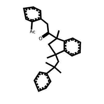 CC(=O)c1ccccc1CC(=O)C1(C)CC(C)(CC(C)(C)c2ccccc2)c2ccccc21